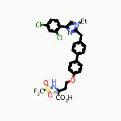 CCn1cc(-c2ccc(Cl)cc2Cl)nc1Cc1ccc(-c2ccc(OCC[C@H](NS(=O)(=O)C(F)(F)F)C(=O)O)cc2)cc1